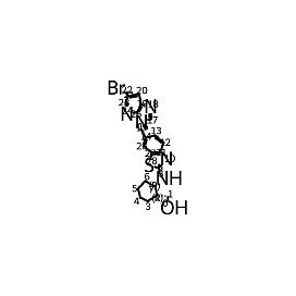 OC[C@@H]1CCCC[C@H]1Nc1nc2ccc(Cn3cnc4cc(Br)cnc43)cc2s1